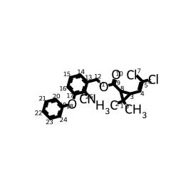 CC1(C)C(C=C(Cl)Cl)C1C(=O)OCc1cccc(Oc2ccccc2)c1C#N